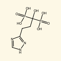 O=P(O)(O)C(O)(CCc1nc[nH]n1)P(=O)(O)O